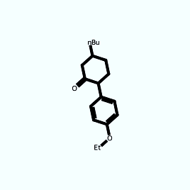 CCCCC1CCC(c2ccc(OCC)cc2)C(=O)C1